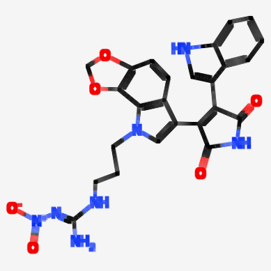 NC(=N[N+](=O)[O-])NCCCn1cc(C2=C(c3c[nH]c4ccccc34)C(=O)NC2=O)c2ccc3c(c21)OCO3